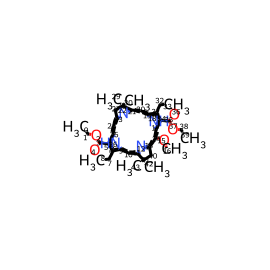 CCOC(=O)c1c(CC)c2cc3nc(c(OC)c4[nH]c(cc5nc(cc1[nH]2)CC5(C)C)c(CC)c4C(=O)OCC)CC3(C)C